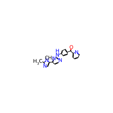 Cc1ncc(-c2ccnc(Nc3ccc(C(=O)c4ccccn4)cc3)n2)n1C